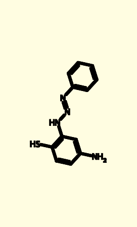 Nc1ccc(S)c(NN=Nc2ccccc2)c1